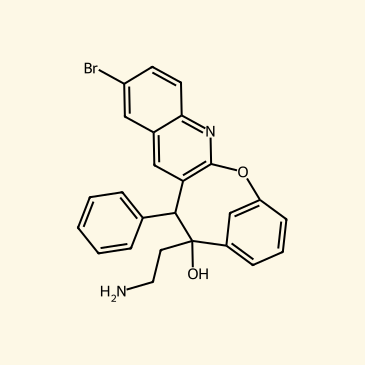 NCCC1(O)c2cccc(c2)Oc2nc3ccc(Br)cc3cc2C1c1ccccc1